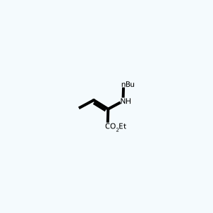 CC=C(NCCCC)C(=O)OCC